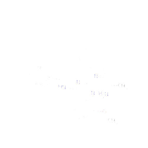 COc1cccc2c(NCc3ccccc3)nc(-n3c(C(C)N)cc4ccccc43)nc12